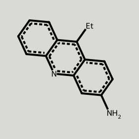 CCc1c2ccccc2nc2cc(N)ccc12